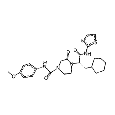 COc1ccc(NC(=O)N2CCN([C@@H](CC3CCCCC3)C(=O)Nc3nccs3)C(=O)C2)cc1